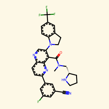 CN(C[C@@H]1CCCN1)C(=O)c1c(N2CCc3cc(C(F)(F)F)ccc32)cnc2ccc(-c3cc(F)cc(C#N)c3)nc12